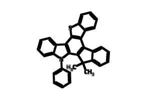 CC1(C)c2ccccc2-c2c1c1c(c3ccccc3n1-c1ccccc1)c1sc3ccccc3c21